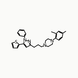 Cc1ccc(N2CCN(CCCc3cc(-c4cccs4)n(-c4ccccc4)n3)CC2)c(C)c1